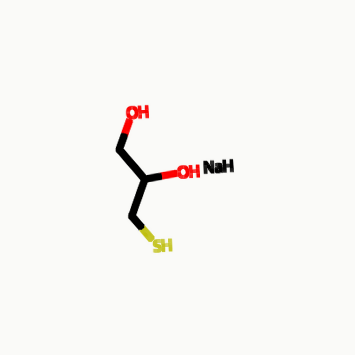 OCC(O)CS.[NaH]